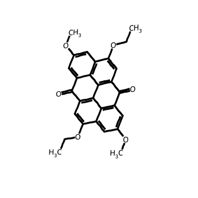 CCOc1cc2c3c4c1cc(OC)cc4c(=O)c1cc(OCC)c4cc(OC)cc(c2=O)c4c1-3